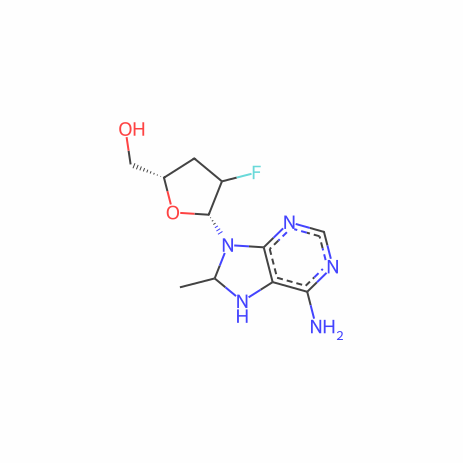 CC1Nc2c(N)ncnc2N1[C@@H]1O[C@H](CO)CC1F